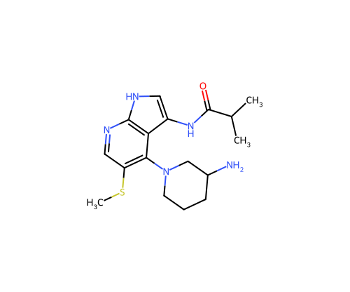 CSc1cnc2[nH]cc(NC(=O)C(C)C)c2c1N1CCCC(N)C1